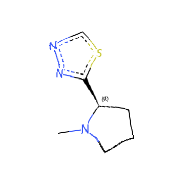 CN1CCC[C@@H]1c1nncs1